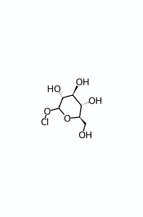 OC[C@H]1O[C](OCl)[C@H](O)[C@@H](O)[C@@H]1O